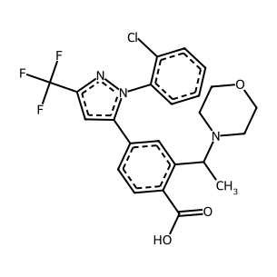 CC(c1cc(-c2cc(C(F)(F)F)nn2-c2ccccc2Cl)ccc1C(=O)O)N1CCOCC1